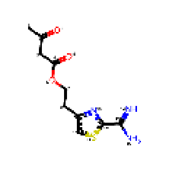 CC(=O)CC(=O)OCCc1csc(C(=N)N)n1